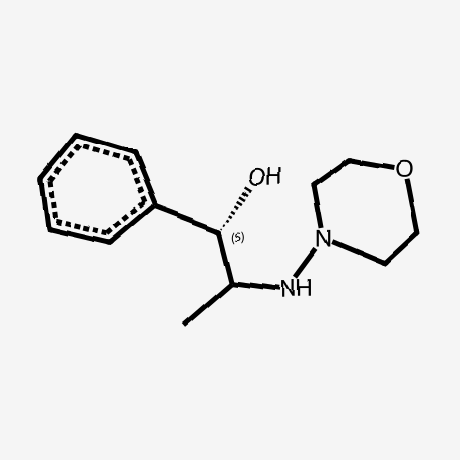 CC(NN1CCOCC1)[C@@H](O)c1ccccc1